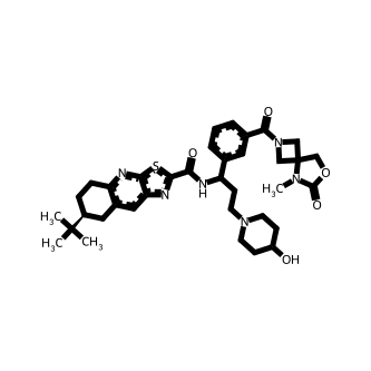 CN1C(=O)OCC12CN(C(=O)c1cccc(C(CCN3CCC(O)CC3)NC(=O)c3nc4cc5c(nc4s3)CC[C@H](C(C)(C)C)C5)c1)C2